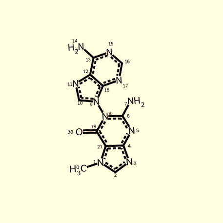 Cn1cnc2nc(N)n(-n3cnc4c(N)ncnc43)c(=O)c21